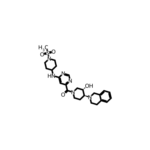 CS(=O)(=O)N1CCC(Nc2cc(C(=O)N3CC[C@H](N4CCc5ccccc5C4)[C@@H](O)C3)ncn2)CC1